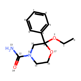 CCOC1(c2ccccc2)CN(C(N)=O)CCO1